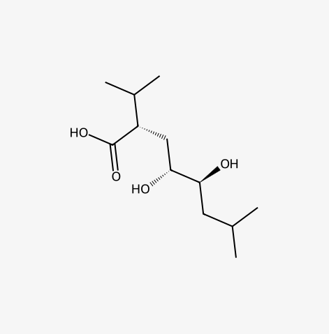 CC(C)C[C@H](O)[C@H](O)C[C@H](C(=O)O)C(C)C